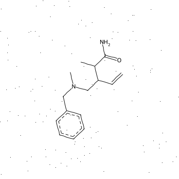 C=CC(CN(C)Cc1ccccc1)C(C)C(N)=O